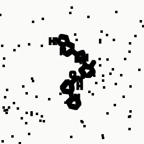 Cc1ccc(NC(=O)c2cccc(-c3ccccn3)c2)cc1-n1cc(-c2cnc3[nH]ccc3c2)cn1